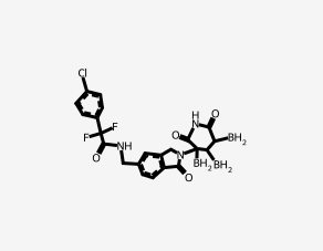 BC1C(=O)NC(=O)C(B)(N2Cc3cc(CNC(=O)C(F)(F)c4ccc(Cl)cc4)ccc3C2=O)C1B